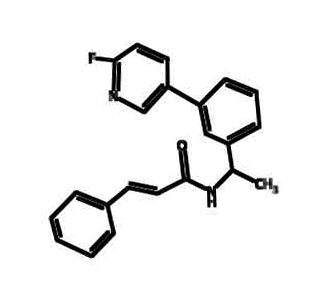 CC(NC(=O)C=Cc1ccccc1)c1cccc(-c2ccc(F)nc2)c1